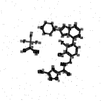 CC(C)(C)c1noc(C(=O)NCc2ccc(-c3ncnn4cc(N5CCOCC5)cc34)c(F)c2Cl)n1.O=C(O)C(F)(F)F